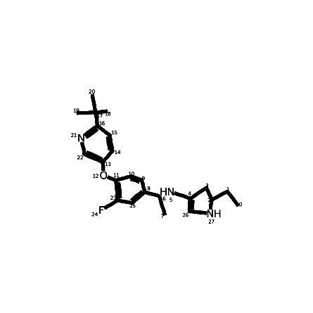 CCC1CC(NC(C)c2ccc(Oc3ccc(C(C)(C)C)nc3)c(F)c2)=CN1